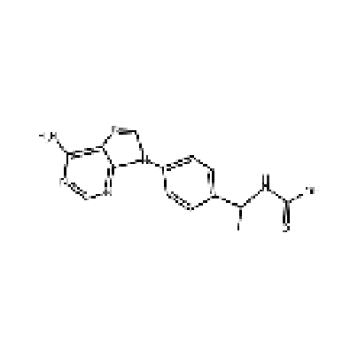 CC(NC(=O)O)c1ccc(-n2cnc3c(N)ncnc32)cc1